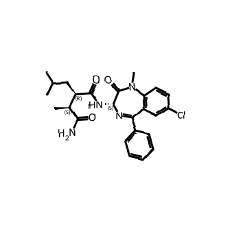 CC(C)C[C@@H](C(=O)N[C@H]1N=C(c2ccccc2)c2cc(Cl)ccc2N(C)C1=O)[C@H](C)C(N)=O